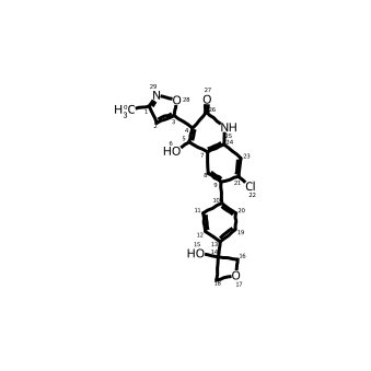 Cc1cc(-c2c(O)c3cc(-c4ccc(C5(O)COC5)cc4)c(Cl)cc3[nH]c2=O)on1